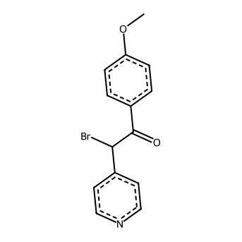 COc1ccc(C(=O)C(Br)c2ccncc2)cc1